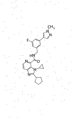 Cn1cc(-c2cc(F)cc(CNC(=O)c3nccc4nc(C5CCCC5)n(C5CC5)c34)c2)cn1